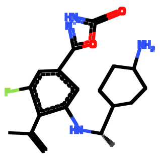 C=C(C)c1c(F)cc(-c2n[nH]c(=O)o2)cc1N[C@@H](C)C1CCC(N)CC1